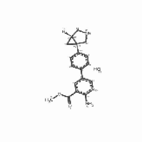 COC(=O)c1cc(-c2ccc([C@]34CNC[C@H]3C4)cc2)cnc1N.Cl